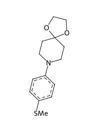 CSc1ccc(N2CCC3(CC2)OCCO3)cc1